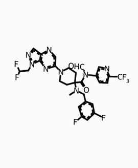 CN(Cc1cc(F)cc(F)c1)C1(C(=O)N(C=O)c2ccc(C(F)(F)F)nc2)CCN(c2cnc3cnn(CC(F)F)c3n2)CC1